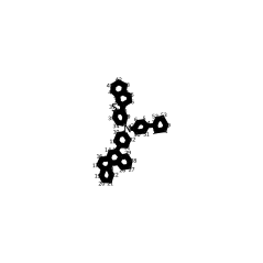 c1ccc(-c2ccc(N(c3ccc(-c4cc5ccc6ccccc6c5c5ccccc45)cc3)c3ccc4sc5c6ccccc6ccc5c4c3)cc2)cc1